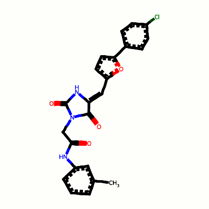 Cc1cccc(NC(=O)CN2C(=O)N/C(=C\c3ccc(-c4ccc(Cl)cc4)o3)C2=O)c1